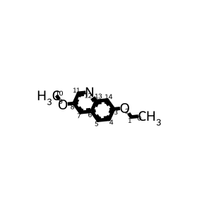 CCOc1ccc2cc(OC)cnc2c1